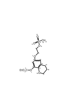 CCOC(=O)Oc1cc(OCCOS(C)(=O)=O)cc2c1OCCC2